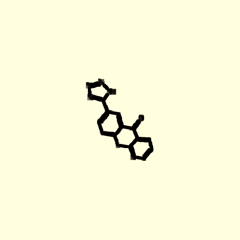 O=c1c2cc(-c3nnn[nH]3)ccc2sc2ncccc12